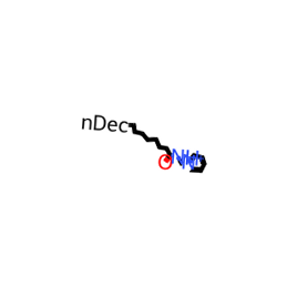 CCCCCCCCCCCCCCCCCC(=O)NC[n+]1ccccc1